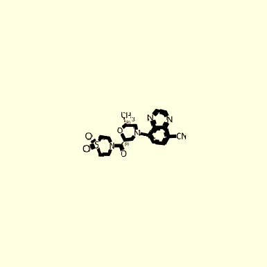 C[C@@H]1CN(c2ccc(C#N)c3nccnc23)C[C@H](C(=O)N2CCS(=O)(=O)CC2)O1